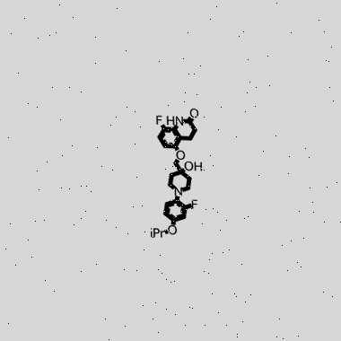 CC(C)Oc1ccc(N2CCC(O)(COc3ccc(F)c4c3CCC(=O)N4)CC2)c(F)c1